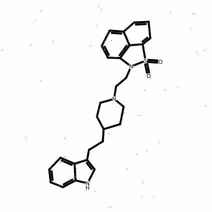 O=S1(=O)c2cccc3cccc(c23)N1CCN1CCC(CCc2c[nH]c3ccccc23)CC1